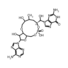 CC1C[C@@H](C(O)n2cnc3c(=O)[nH]c(N)nc32)OP(=O)(O)OCC2OC(n3cnc4c(N)ncnc43)C(O)C2OCC1O